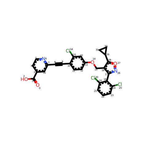 O=C(O)c1ccnc(C#Cc2ccc(OCc3c(-c4c(Cl)cccc4Cl)noc3C3CC3)cc2Cl)c1